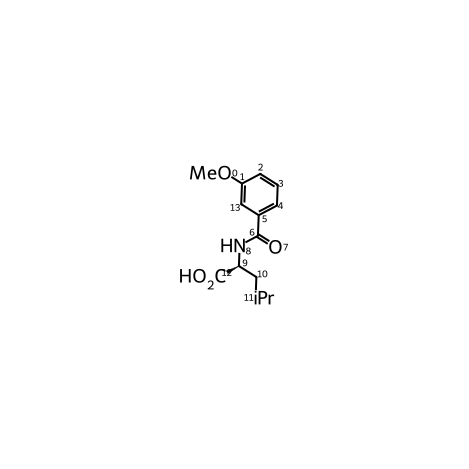 COc1cccc(C(=O)N[C@@H](CC(C)C)C(=O)O)c1